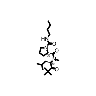 CCCCNC(=O)N1CCC[C@H]1C(=O)N(C)[C@H](CC(C)C)C(=O)C(C)(C)C